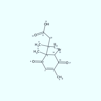 CC1=CC(=O)C(C)(C(C)(C)CC(=O)O)C(Br)C1=O